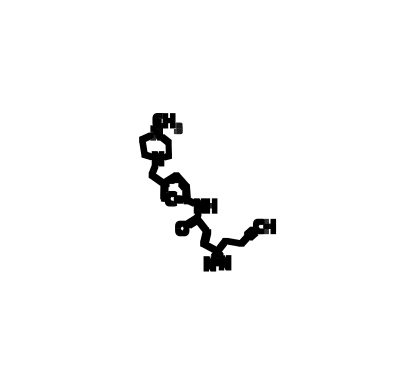 C#CCCC1(C=CC(=O)Nc2ccc(CN3CCN(C)CC3)cc2)N=N1